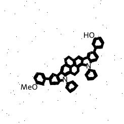 COc1cccc(-c2ccc3c(c2)c2cc4c5c(c2n3-c2ccccc2)CCc2c-5c(cc3c5cc(-c6cccc(O)c6)ccc5n(-c5ccccc5)c23)CC4)c1